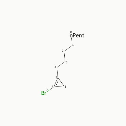 CCCCCCCCCC1=C(Br)C1